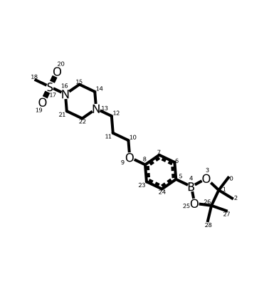 CC1(C)OB(c2ccc(OCCCN3CCN(S(C)(=O)=O)CC3)cc2)OC1(C)C